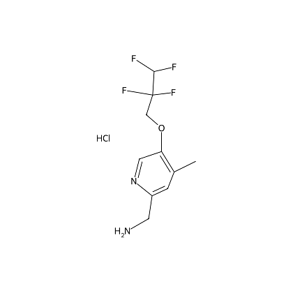 Cc1cc(CN)ncc1OCC(F)(F)C(F)F.Cl